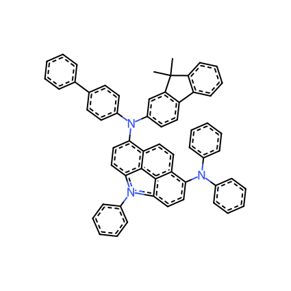 CC1(C)c2ccccc2-c2ccc(N(c3ccc(-c4ccccc4)cc3)c3ccc4c5c3ccc3c(N(c6ccccc6)c6ccccc6)ccc(c35)n4-c3ccccc3)cc21